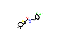 CC1(C)CCc2sc(C(=O)NCCc3ccc(Cl)c(Cl)c3)cc2C1